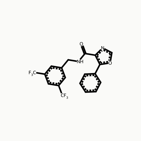 O=C(NCc1cc(C(F)(F)F)cc(C(F)(F)F)c1)c1ncoc1-c1ccccc1